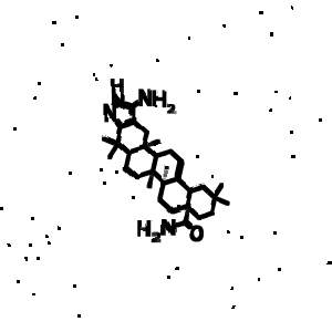 CC1(C)CC[C@]2(C(N)=O)CC[C@]3(C)C(=CCC4[C@@]5(C)Cc6c(n[nH]c6N)C(C)(C)C5CC[C@]43C)C2C1